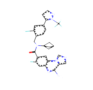 Nc1nc2cc(F)c(C(=O)N(Cc3ccc(-c4ccnn4C(F)(F)F)cc3F)C34CC(C3)C4)cc2n2cncc12